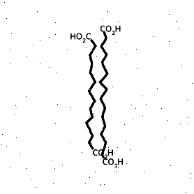 O=C(O)CCCCCCCCCCCCC(=O)O.O=C(O)CCCCCCCCCCCCCCC(=O)O